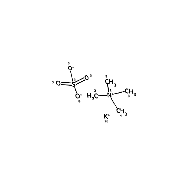 C[N+](C)(C)C.O=S(=O)([O-])[O-].[K+]